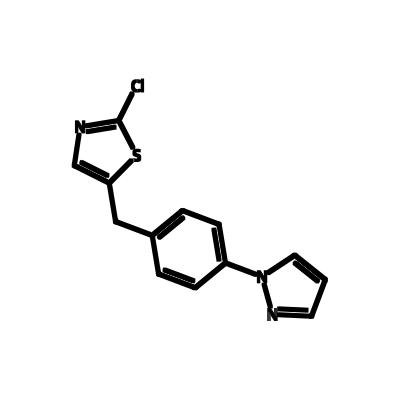 Clc1ncc(Cc2ccc(-n3cccn3)cc2)s1